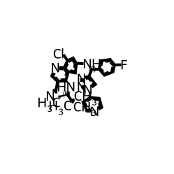 CC[C@@H](Nc1c(C#N)cnc2c(Cl)cc(N[C@@H](c3ccc(F)cc3)c3cn(-c4ccncc4)nn3)cc12)C(C)(C)C